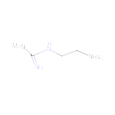 CNC(=N)NCCNC(C)=O